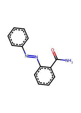 NC(=O)c1ccccc1N=Nc1ccccc1